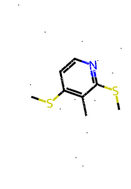 CSc1ccnc(SC)c1C